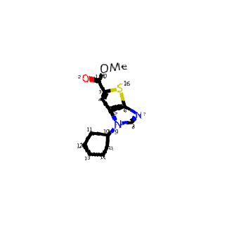 COC(=O)c1cc2c(ncn2C2CCCCC2)s1